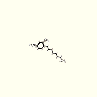 CCCCCCCCc1ccc(N)cc1C